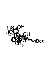 CCCCCCCCCCCCCC[C@@H](O)[C@@H](O)[C@H](CO[C@@H]1O[C@H](CO)[C@H](O)[C@H](O)[C@H]1O)NS(=O)(=O)c1ccccc1C